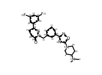 CN(C)C1CCN(c2nc(-c3cccc(Cn4nc(-c5cc(F)cc(F)c5)ccc4=O)c3)no2)CC1